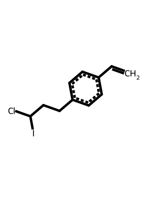 C=Cc1ccc(CCC(Cl)I)cc1